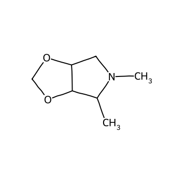 CC1C2OCOC2CN1C